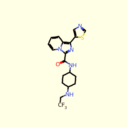 O=C(NC1CCC(NCC(F)(F)F)CC1)c1nc(-c2cncs2)c2ccccn12